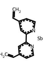 C=Cc1ccnc(-c2cc(C=C)ccn2)c1.[Sb]